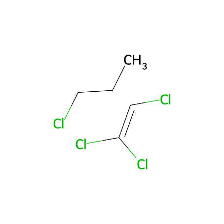 CCCCl.ClC=C(Cl)Cl